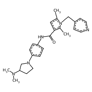 Cc1cc(C(=O)Nc2ccc(N3CCC(N(C)C)C3)cc2)c(C)n1Cc1ccncc1